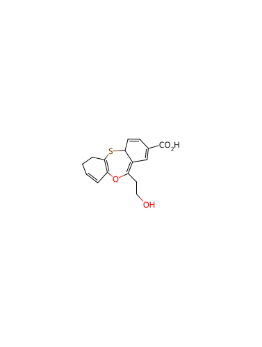 O=C(O)C1=CC2=C(CCO)OC3=C(CCC=C3)SC2C=C1